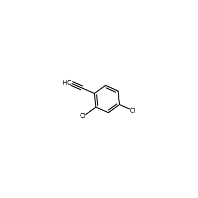 C#Cc1ccc(Cl)cc1Cl